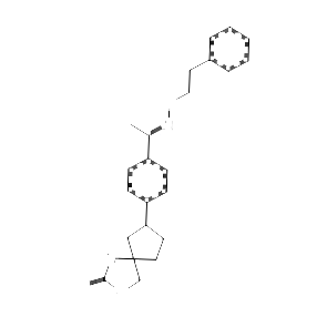 C/C(=N\OCCc1ccccc1)c1ccc(C2CCC3(COC(=O)N3)C2)cc1